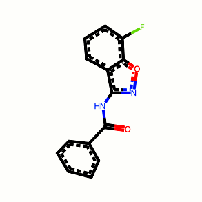 O=C(Nc1noc2c(F)cccc12)c1ccccc1